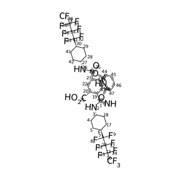 N=C(N[C@H]1CC[C@H](C(F)(F)C(F)(F)C(F)(F)C(F)(F)F)CC1)c1c(C(=O)O)cc(C(=O)N[C@H]2CC[C@H](C(F)(F)C(F)(F)C(F)(F)C(F)(F)F)CC2)c2c3ccc(c(=O)[nH]c3=O)c12